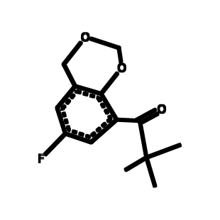 CC(C)(C)C(=O)c1cc(F)cc2c1OCOC2